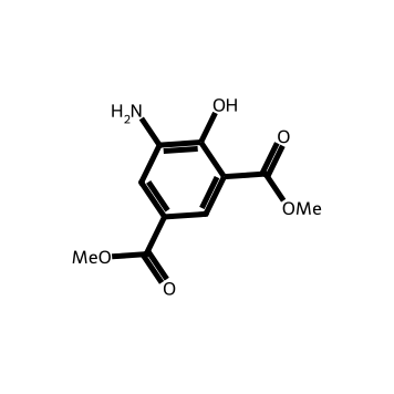 COC(=O)c1cc(N)c(O)c(C(=O)OC)c1